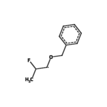 CC(F)[CH]OCc1ccccc1